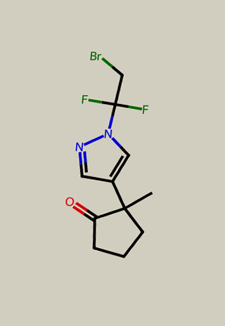 CC1(c2cnn(C(F)(F)CBr)c2)CCCC1=O